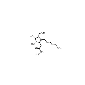 CCCCCCN1[C@H](CO)[C@@H](O)[C@@H](O)[C@@H]1CC(=O)NC